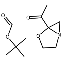 CC(=O)C12CN1CCO2.CC(C)(C)OC=O